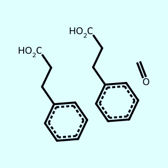 C=O.O=C(O)CCc1ccccc1.O=C(O)CCc1ccccc1